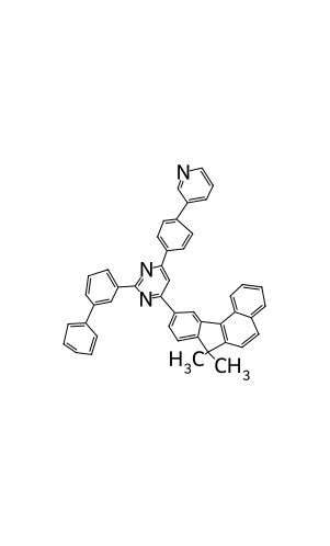 CC1(C)c2ccc(-c3cc(-c4ccc(-c5cccnc5)cc4)nc(-c4cccc(-c5ccccc5)c4)n3)cc2-c2c1ccc1ccccc21